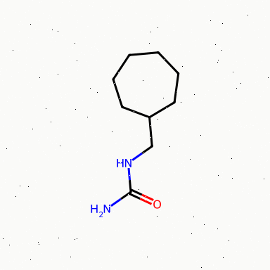 NC(=O)NCC1CCCCCC1